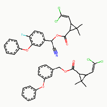 CC1(C)C(C=C(Cl)Cl)C1C(=O)OC(C#N)c1ccc(F)c(Oc2ccccc2)c1.CC1(C)C(C=C(Cl)Cl)C1C(=O)OCc1cccc(Oc2ccccc2)c1